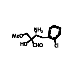 COC[C@](O)(C=O)[C@H](N)Cc1ccccc1Cl